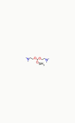 CN(C)CCOC(O[SiH3])OCCN(C)C